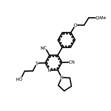 COCCOc1ccc(-c2c(C#N)c(SCCO)nc(N3CCCC3)c2C#N)cc1